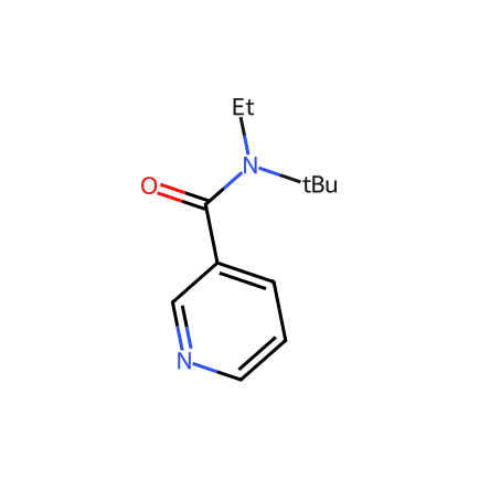 CCN(C(=O)c1cccnc1)C(C)(C)C